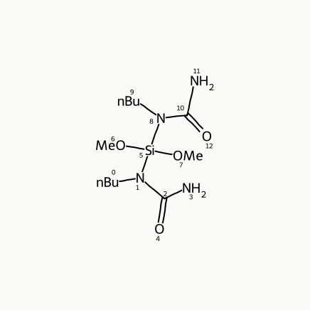 CCCCN(C(N)=O)[Si](OC)(OC)N(CCCC)C(N)=O